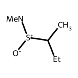 CCC(C)[S+]([O-])NC